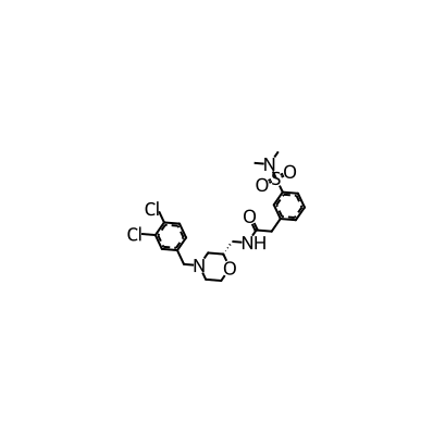 CN(C)S(=O)(=O)c1cccc(CC(=O)NC[C@H]2CN(Cc3ccc(Cl)c(Cl)c3)CCO2)c1